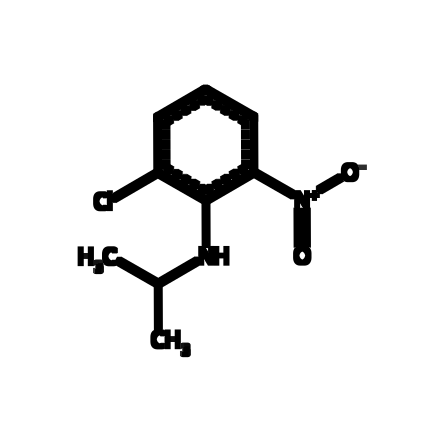 CC(C)Nc1c(Cl)cccc1[N+](=O)[O-]